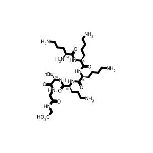 CCCC[C@H](NC(=O)[C@H](CCCN)NC(=O)[C@H](CCCCN)NC(=O)[C@H](CCCCN)NC(=O)[C@@H](N)CCCN)C(=O)NCC(=O)NCC(=O)O